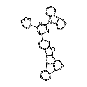 c1ccc(-c2nc(-c3ccc4c(c3)oc3c5cccc6c5c(cc43)-c3ccccc3-6)nc(-n3c4ccccc4c4ccccc43)n2)cc1